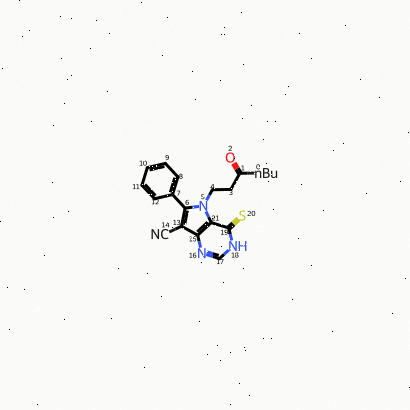 CCCCC(=O)CCn1c(-c2ccccc2)c(C#N)c2nc[nH]c(=S)c21